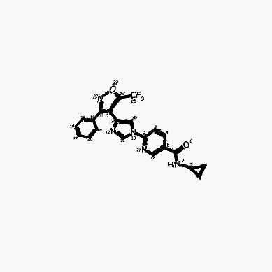 O=C(NC1CC1)c1ccc(-n2cnc(-c3c(-c4ccccc4)noc3C(F)(F)F)c2)nc1